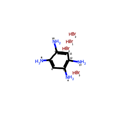 Br.Br.Br.Br.Nc1cc(N)c(N)cc1N